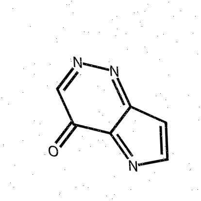 O=C1C=NN=C2C=CN=C12